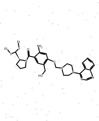 CCSC(SCC)[C@@H]1CCCN1C(=O)c1cc(CO)c(OCN2CCN(c3ncnc4ccccc34)CC2)cc1[N+](=O)[O-]